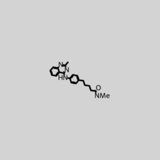 CNC(=O)CCCCc1ccc(Nc2nc(C)nc3ccccc23)cc1